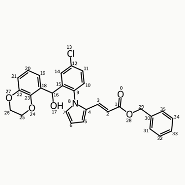 O=C(/C=C/c1cccn1-c1ccc(Cl)cc1C(O)c1cccc2c1OCCO2)OCc1ccccc1